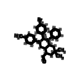 Cc1ccc(N2CC3C(C=O)CC(C)(C)CC3N(c3ccccc3)C2c2ccc(Br)cc2)cc1